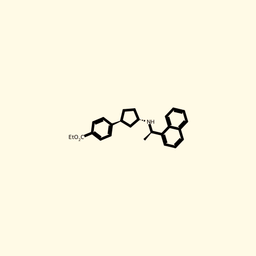 CCOC(=O)c1ccc([C@H]2CC[C@H](N[C@H](C)c3cccc4ccccc34)C2)cc1